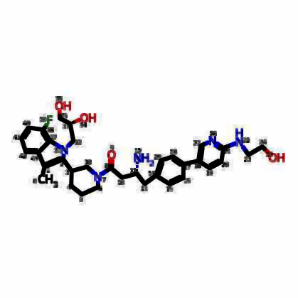 Cc1c(C2CCCN(C(=O)C[C@H](N)Cc3ccc(-c4ccc(NCCO)nc4)cc3)C2)n(C[C@H](O)CO)c2c(F)cccc12